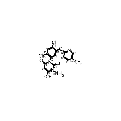 Nn1c(C(F)(F)F)cc(=O)n(-c2cc(Oc3ccc(C(F)(F)F)cn3)c(Cl)cc2Cl)c1=O